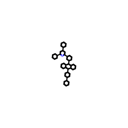 c1ccc(-c2ccc(-c3c4ccccc4c(-c4cccc(-c5cc(-c6ccccc6)cc(-c6ccccc6)n5)c4)c4ccccc34)cc2)cc1